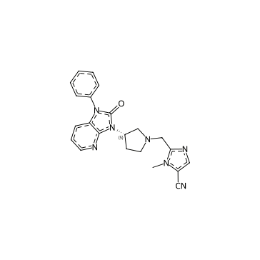 Cn1c(C#N)cnc1CN1CC[C@H](n2c(=O)n(-c3ccccc3)c3cccnc32)C1